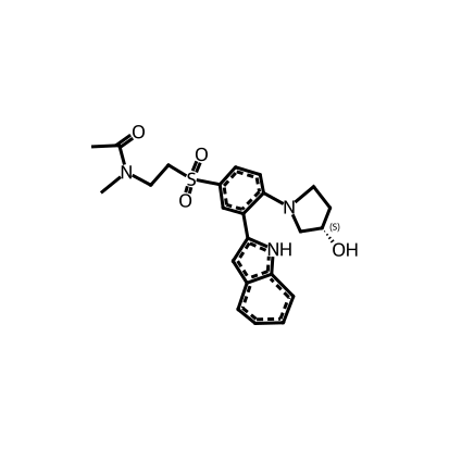 CC(=O)N(C)CCS(=O)(=O)c1ccc(N2CC[C@H](O)C2)c(-c2cc3ccccc3[nH]2)c1